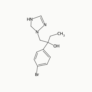 CCC(O)(CN1CNC=N1)c1ccc(Br)cc1